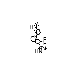 CN/C=C(\C=N)C1CC2=C(C=C1C(F)F)N(c1cccc(NC(C)(C)C)n1)CCC2